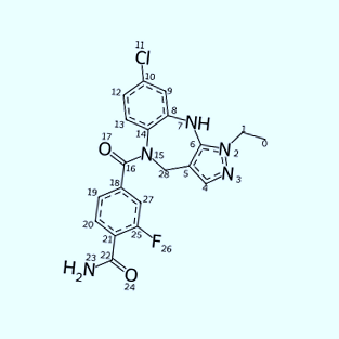 CCn1ncc2c1Nc1cc(Cl)ccc1N(C(=O)c1ccc(C(N)=O)c(F)c1)C2